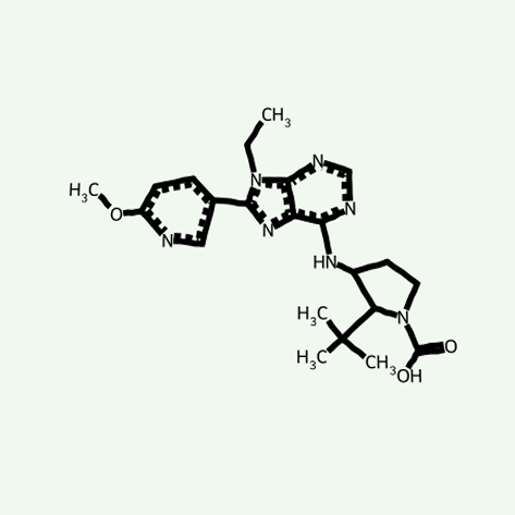 CCn1c(-c2ccc(OC)nc2)nc2c(NC3CCN(C(=O)O)C3C(C)(C)C)ncnc21